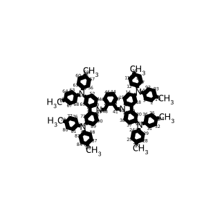 Cc1ccc(N(c2ccc(C)cc2)c2ccc3c(c2)c2cc(N(c4ccc(C)cc4)c4ccc(C)cc4)ccc2n3Cc2ccccc2Cn2c3ccc(N(c4ccc(C)cc4)c4ccc(C)cc4)cc3c3cc(N(c4ccc(C)cc4)c4ccc(C)cc4)ccc32)cc1